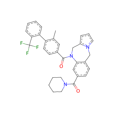 Cc1cc(C(=O)N2Cc3cccn3Cc3ccc(C(=O)N4CCCCC4)cc32)ccc1-c1ccccc1C(F)(F)F